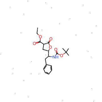 CCOC(=O)C1CC(C(Cc2ccccc2)NC(=O)OC(C)(C)C)OC1=O